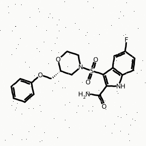 NC(=O)c1[nH]c2ccc(F)cc2c1S(=O)(=O)N1CCO[C@@H](COc2ccccc2)C1